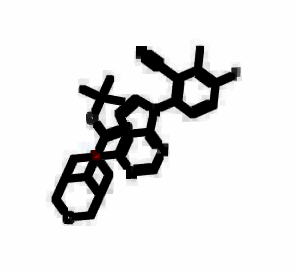 Cc1c(F)ccc(-n2ccc3c(OC4C5COCC4CN(C(=O)OC(C)(C)C)C5)ncnc32)c1C#N